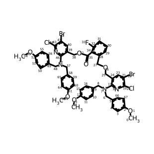 COc1ccc(CN(Cc2ccc(OC)cc2)c2nc(Cl)c(Br)cc2COCc2cccc(F)c2C(=O)OCc2cc(Br)c(Cl)nc2N(Cc2ccc(OC)cc2)Cc2ccc(OC)cc2)cc1